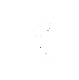 CC=C(C)C(=O)ON(C(=O)OCC)C1CCCO1